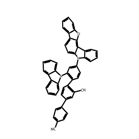 N#Cc1ccc(-c2ccc(-c3ccc(-n4c5ccccc5c5c6oc7ccccc7c6ccc54)cc3-n3c4ccccc4c4ccccc43)c(C#N)c2)cc1